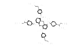 CCC(C)c1ccc(Nc2ccc(Nc3ccc(C(C)CC)cc3)c3c2C(=O)c2c(Nc4ccc(C(C)CC)cc4)ccc(Nc4ccc(C(C)CC)cc4)c2C3=O)cc1